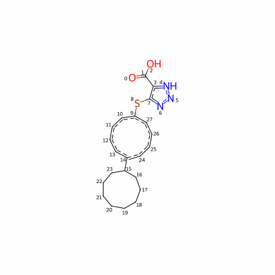 O=C(O)c1[nH]nnc1Sc1ccccc(C2CCCCCCCC2)cccc1